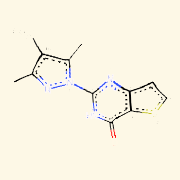 Cc1nn(-c2nc3ccsc3c(=O)[nH]2)c(C)c1C(=O)O